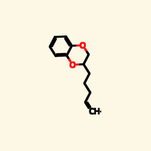 [CH]=CCCCC1COc2ccccc2O1